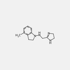 Cc1cccc2c1CCN2NCC1=NCCN1